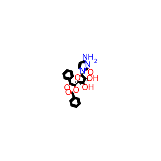 Nc1ccn([C@@H]2O[C@H](C(OC(=O)c3ccccc3)C(=O)c3ccccc3)[C@@H](O)[C@H]2O)c(=O)n1